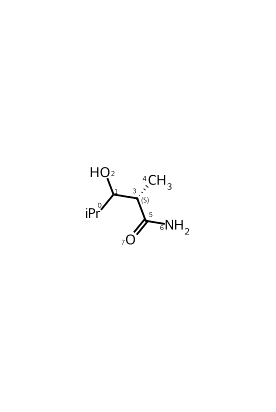 CC(C)C(O)[C@H](C)C(N)=O